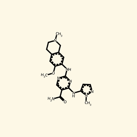 COc1cc2c(cc1Nc1ncc(C(N)=O)c(Nc3ccnn3C)n1)CN(C)CC2